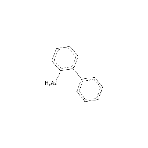 [AsH2]c1ccccc1-c1ccccc1